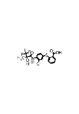 CC(O)(C(=O)Nc1ccc(Sc2ccccc2C(=O)O)cc1Cl)C(F)(F)F